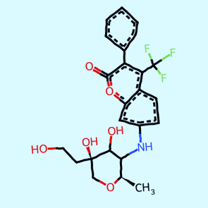 C[C@H]1OC[C@](O)(CCO)C(O)C1Nc1ccc2c(C(F)(F)F)c(-c3ccccc3)c(=O)oc2c1